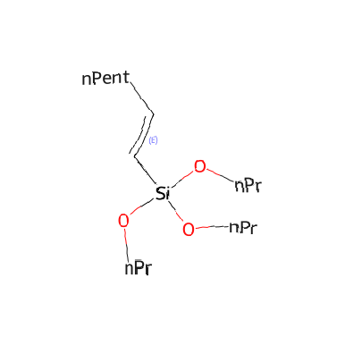 CCCCC/C=C/[Si](OCCC)(OCCC)OCCC